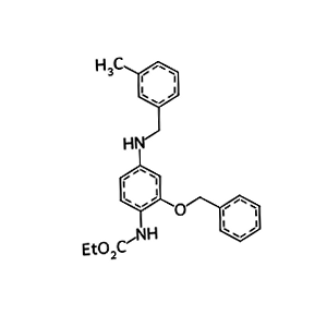 CCOC(=O)Nc1ccc(NCc2cccc(C)c2)cc1OCc1ccccc1